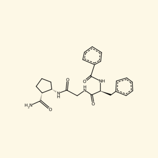 NC(=O)[C@@H]1CCC[C@@H]1NC(=O)CNC(=O)[C@H](Cc1ccccc1)NC(=O)c1ccccc1